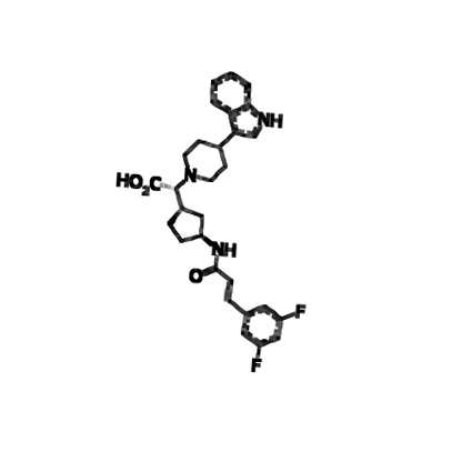 O=C(/C=C/c1cc(F)cc(F)c1)N[C@H]1CC[C@@H]([C@H](C(=O)O)N2CCC(c3c[nH]c4ccccc34)CC2)C1